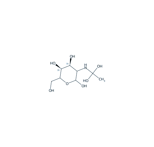 CC(O)(O)NC1C(O)OC(CO)[C@@H](O)[C@H]1O